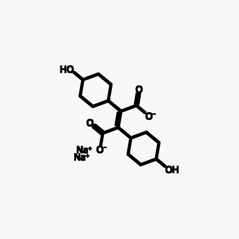 O=C([O-])C(=C(C(=O)[O-])C1CCC(O)CC1)C1CCC(O)CC1.[Na+].[Na+]